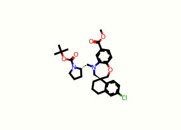 COC(=O)c1ccc2c(c1)N(C[C@@H]1CCCN1C(=O)OC(C)(C)C)C[C@@]1(CCCc3cc(Cl)ccc31)CO2